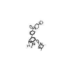 Cc1cc(C)nc(COc2cc(-c3ccc(C(=O)N4CCC(N5CCCC5)CC4)cc3)cnc2N)n1